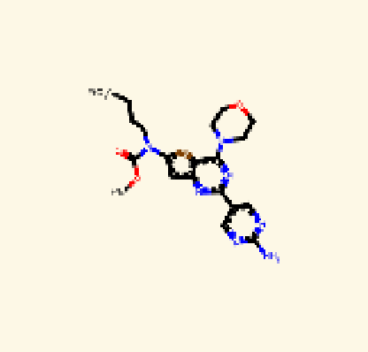 CCOC(=O)CCCN(C(=O)OC(C)(C)C)c1cc2nc(-c3cnc(N)nc3)nc(N3CCOCC3)c2s1